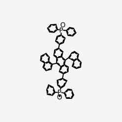 O=P(c1ccccc1)(c1ccccc1)c1ccc(-c2ccc3c(-c4cccc5ccccc45)c4cc(-c5ccc(P(=O)(c6ccccc6)c6ccccc6)cc5)ccc4c(-c4cccc5ccccc45)c3c2)cc1